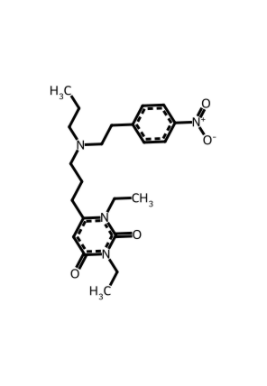 CCCN(CCCc1cc(=O)n(CC)c(=O)n1CC)CCc1ccc([N+](=O)[O-])cc1